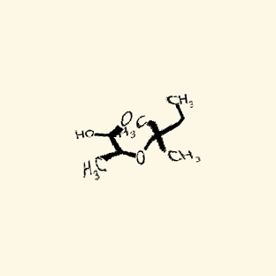 CCC(C)(C)OC(C)C(=O)O